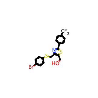 OCc1sc(-c2ccc(C(F)(F)F)cc2)nc1CSc1ccc(Br)cc1